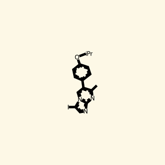 Cc1nc2ncc(I)n2cc1-c1ccc(OC(C)C)cc1